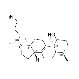 CC(C)CCC[C@@H](C)[C@H]1CC[C@H]2C3=C(CC[C@]12C)[C@@]1(C)C(O)CC[C@@H](C)C1CC3